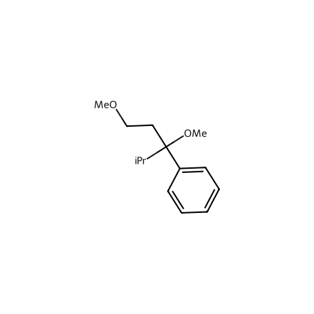 COCCC(OC)(c1ccccc1)C(C)C